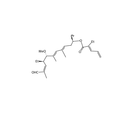 C=C/C=C(\CC)C(=O)O[C@@H](C/C=C(C)/C=C(\C)[C@@H](OC)[C@@H](/C=C(/C)C=O)CC)C(C)C